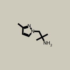 Cc1ccn(CC(C)(C)N)n1